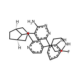 Nc1nnc(-c2cccc(F)c2O)cc1N1C[C@H]2CC[C@@H](C1)C2Cc1nccc(C2CCNCC2)n1